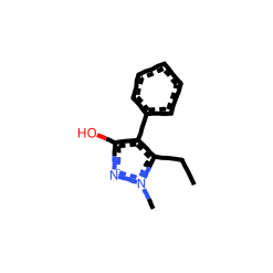 CCc1c(-c2ccccc2)c(O)nn1C